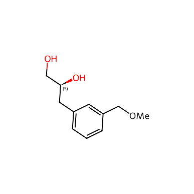 COCc1cccc(C[C@H](O)CO)c1